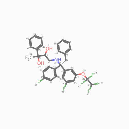 OC(CN[C@](Cc1ccccc1)(c1ccc(F)cc1)c1cc(F)cc(OC(F)(F)C(F)F)c1)C(O)(c1ccccc1)C(F)(F)F